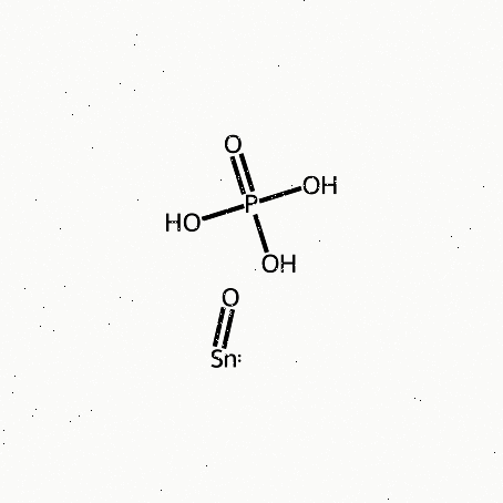 O=P(O)(O)O.[O]=[Sn]